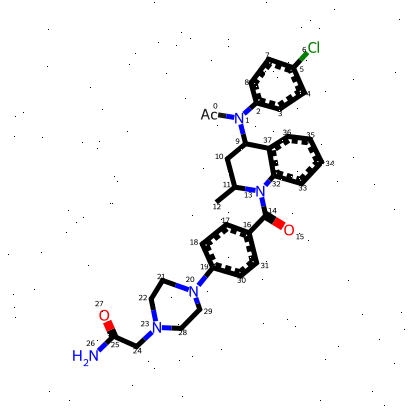 CC(=O)N(c1ccc(Cl)cc1)C1CC(C)N(C(=O)c2ccc(N3CCN(CC(N)=O)CC3)cc2)c2ccccc21